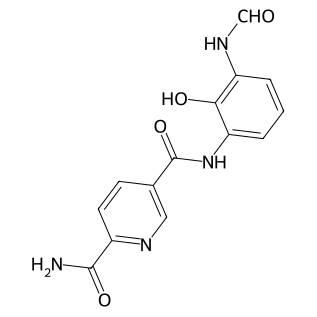 NC(=O)c1ccc(C(=O)Nc2cccc(NC=O)c2O)cn1